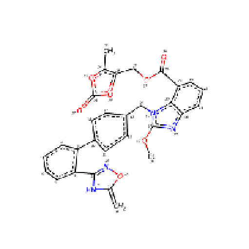 C=C1NC(c2ccccc2-c2ccc(Cn3c(OCC)nc4cccc(C(=O)OCc5oc(=O)oc5C)c43)cc2)=NO1